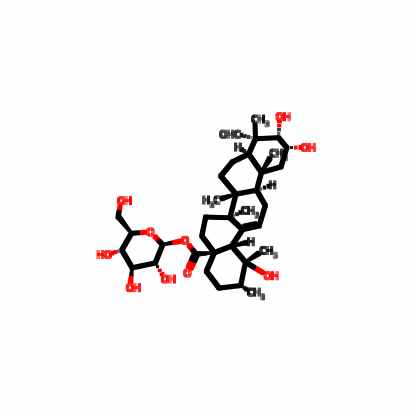 C[C@@H]1CC[C@]2(C(=O)O[C@@H]3O[C@H](CO)[C@@H](O)[C@H](O)[C@H]3O)CC[C@]3(C)C(=CC[C@@H]4[C@@]5(C)C[C@@H](O)[C@@H](O)[C@@](C)(C=O)[C@@H]5CC[C@]43C)[C@@H]2[C@]1(C)O